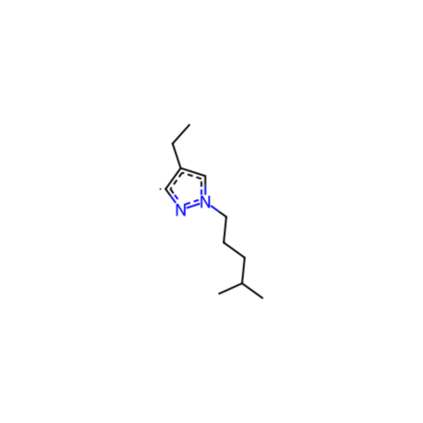 CCc1[c]nn(CCCC(C)C)c1